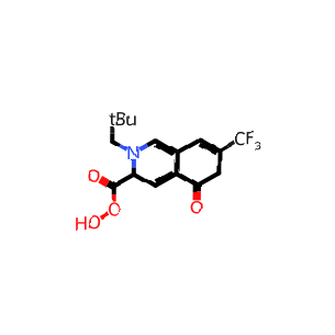 CC(C)(C)CN1C=C2C=C(C(F)(F)F)CC(=O)C2=CC1C(=O)OO